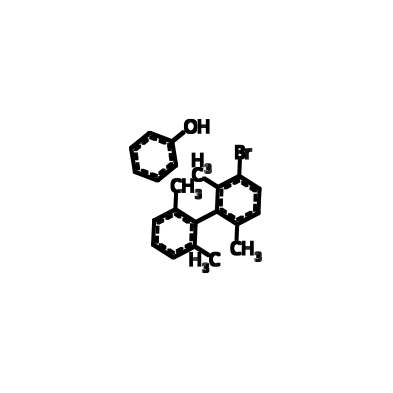 Cc1cccc(C)c1-c1c(C)ccc(Br)c1C.Oc1ccccc1